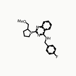 COCC1CCCN1c1nc(NCc2ccc(F)cc2)c2ccccc2n1